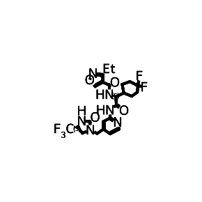 CCc1nocc1C(=O)N[C@H](C(=O)Nc1cc(CN2C[C@@H](C(F)(F)F)NC2=O)ccn1)C1CCC(F)(F)CC1